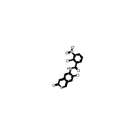 O=C1C=c2cc(NC(=O)c3cccc([N+](=O)[O-])c3Cl)c(Cl)cc2=C[N]1